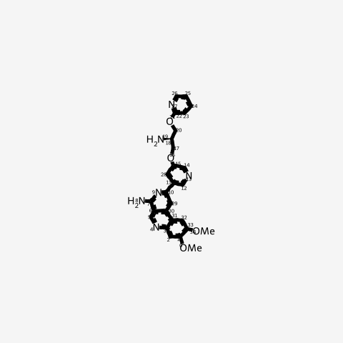 COc1cc2ncc3c(N)nc(-c4cncc(OC[C@@H](N)COc5ccccn5)c4)cc3c2cc1OC